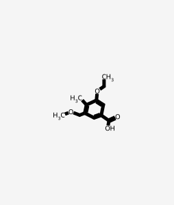 CCOc1cc(C(=O)O)cc(COC)c1C